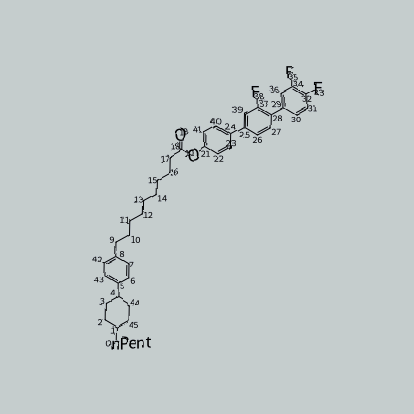 CCCCCC1CCC(c2ccc(CCCCCCCCCC(=O)Oc3ccc(-c4ccc(-c5ccc(F)c(F)c5)c(F)c4)cc3)cc2)CC1